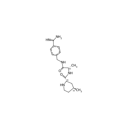 C[C@H]1CCN[C@H](C(=O)N[C@@H](C)C(=O)NCc2ccc(C(=N)N)cc2)C1